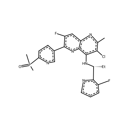 CC[C@@H](Nc1c(Cl)c(C)nc2cc(F)c(-c3ccc(P(C)(C)=O)nc3)nc12)c1ncccc1F